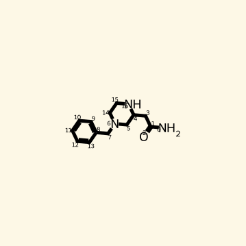 NC(=O)CC1CN(Cc2ccccc2)CCN1